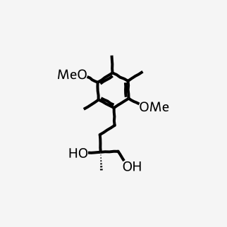 COc1c(C)c(C)c(OC)c(CC[C@](C)(O)CO)c1C